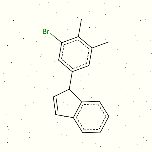 Cc1cc(C2C=Cc3ccccc32)cc(Br)c1C